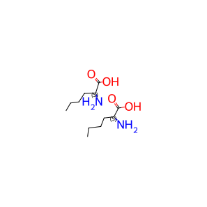 CCCC[C@H](N)C(=O)O.CCCC[C@H](N)C(=O)O